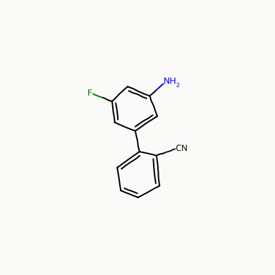 N#Cc1ccccc1-c1cc(N)cc(F)c1